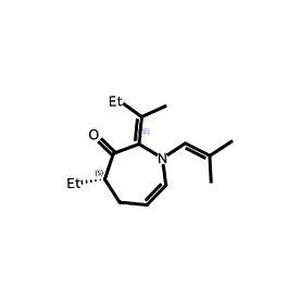 CC/C(C)=C1\C(=O)[C@@H](CC)CC=CN1C=C(C)C